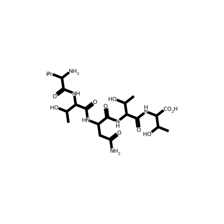 CC(C)C(N)C(=O)NC(C(=O)NC(CC(N)=O)C(=O)NC(C(=O)NC(C(=O)O)C(C)O)C(C)O)C(C)O